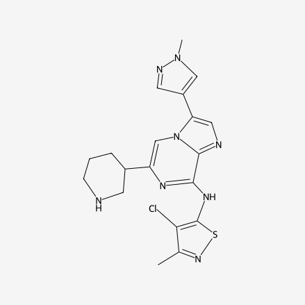 Cc1nsc(Nc2nc(C3CCCNC3)cn3c(-c4cnn(C)c4)cnc23)c1Cl